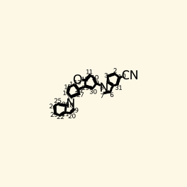 N#Cc1ccc2c(ccn2-c2ccc3oc4ccc(-n5ccc6ccccc65)cc4c3c2)c1